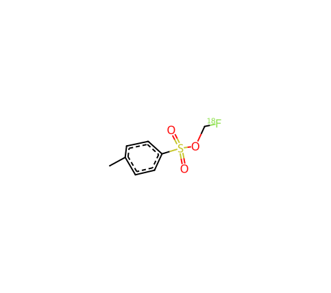 Cc1ccc(S(=O)(=O)OC[18F])cc1